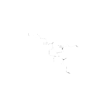 C=CCOC(=O)N[C@@]1(C(=O)NCCC(=O)OCC)CC[C@H]2[C@H](C(=O)OCC=C)[C@H]21